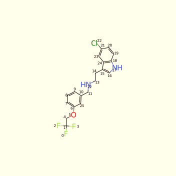 FC(F)(F)COc1cccc(CNCCc2c[nH]c3ccc(Cl)cc23)c1